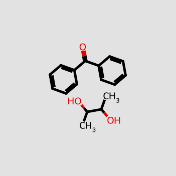 CC(O)C(C)O.O=C(c1ccccc1)c1ccccc1